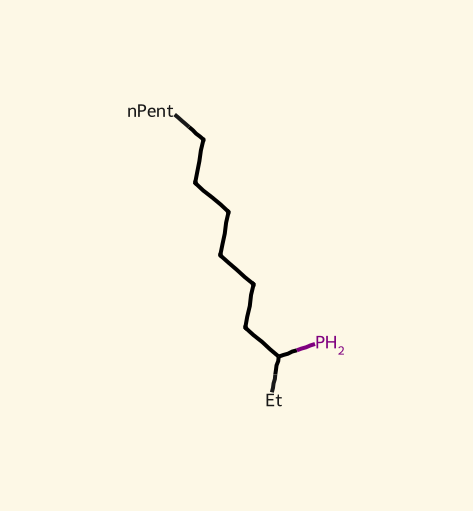 CCCCCCCCCCCC(P)CC